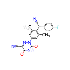 Cc1cc(-n2nc(C#N)c(=O)[nH]c2=O)cc(C)c1C(C#N)c1ccc(F)cc1